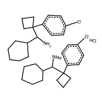 CNC(C1CCCCC1)C1(c2ccc(Cl)cc2)CCC1.Cl.NC(C1CCCCC1)C1(c2ccc(Cl)cc2)CCC1